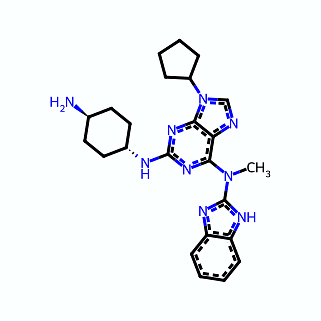 CN(c1nc2ccccc2[nH]1)c1nc(N[C@H]2CC[C@H](N)CC2)nc2c1ncn2C1CCCC1